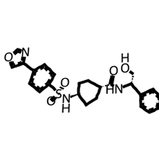 O=C(N[C@H](CO)c1ccccc1)[C@H]1CC[C@H](NS(=O)(=O)c2ccc(-c3cocn3)cc2)CC1